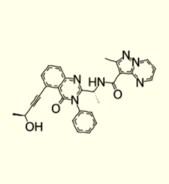 Cc1nn2cccnc2c1C(=O)N[C@H](C)c1nc2cccc(C#C[C@H](C)O)c2c(=O)n1-c1ccccc1